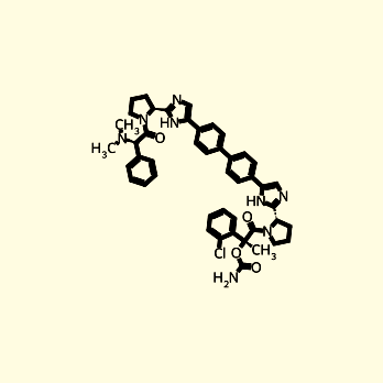 CN(C)[C@@H](C(=O)N1CCC[C@H]1c1ncc(-c2ccc(-c3ccc(-c4cnc([C@@H]5CCCN5C(=O)[C@](C)(OC(N)=O)c5ccccc5Cl)[nH]4)cc3)cc2)[nH]1)c1ccccc1